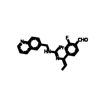 C/C=C(\N=C(\NCc1ccc2ncccc2c1)C(C)C)c1ccc(C=O)c(F)c1